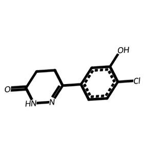 O=C1CCC(c2ccc(Cl)c(O)c2)=NN1